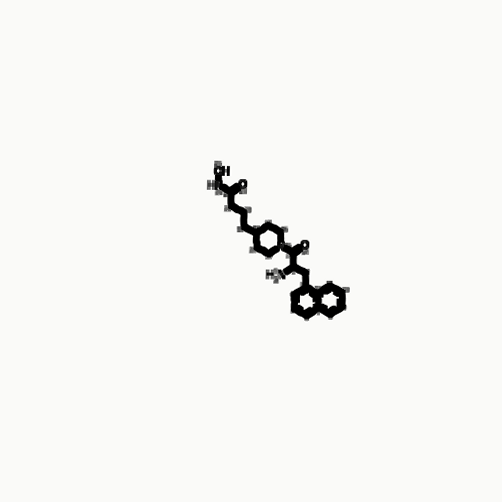 NC(Cc1cccc2ccccc12)C(=O)N1CCC(CCCC(=O)NO)CC1